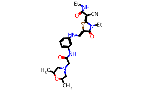 CCNC(=O)C(C#N)=c1sc(=CNc2cccc(NC(=O)CN3CC(C)OC(C)C3)c2)c(=O)n1CC